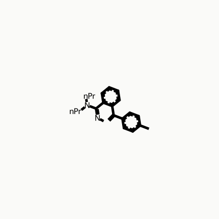 C=C(c1ccc(C)cc1)c1ccccc1/C(=N\C)N(CCC)CCC